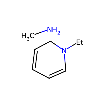 CCN1C=CC=CC1.CN